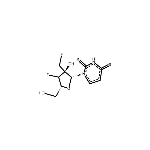 OC[C@H]1O[C@@H](n2ccc(=S)[nH]c2=S)[C@@](O)(CF)C1F